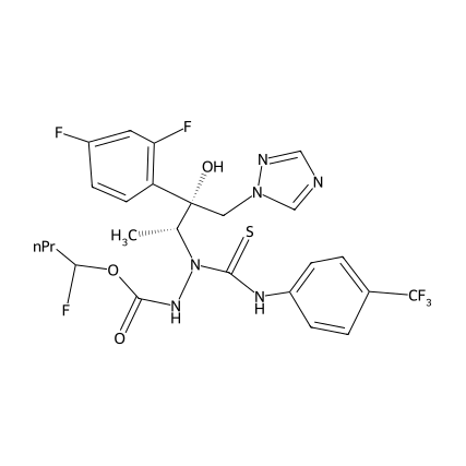 CCCC(F)OC(=O)NN(C(=S)Nc1ccc(C(F)(F)F)cc1)[C@H](C)[C@](O)(Cn1cncn1)c1ccc(F)cc1F